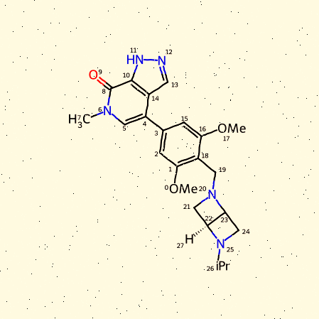 COc1cc(-c2cn(C)c(=O)c3[nH]ncc23)cc(OC)c1CN1C[C@H]2C1CN2C(C)C